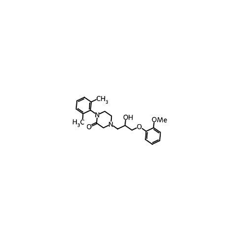 COc1ccccc1OCC(O)CN1CCN(c2c(C)cccc2C)C(=O)C1